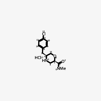 CNC(=O)[C@H]1CN[C@@H](Cc2ccc(Cl)cc2)CO1.Cl